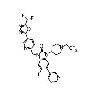 O=c1n(Cc2ccc(-c3nnc(C(F)F)o3)cn2)c2cc(F)c(-c3cccnc3)cc2n1C1CCN(CC(F)(F)F)CC1